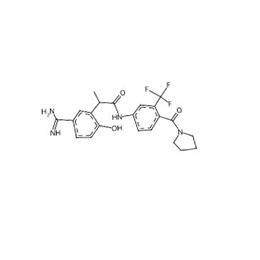 CC(C(=O)Nc1ccc(C(=O)N2CCCC2)c(C(F)(F)F)c1)c1cc(C(=N)N)ccc1O